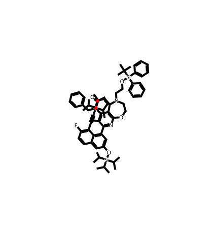 CC(C)[Si](C#Cc1c(F)ccc2cc(O[Si](C(C)C)(C(C)C)C(C)C)cc(-c3nc4c5c(cc(=O)n(Cc6ccccc6)c5c3F)N(CCO[Si](c3ccccc3)(c3ccccc3)C(C)(C)C)CCO4)c12)(C(C)C)C(C)C